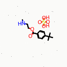 CNCCOC(=O)c1ccc(C(C)(C)C)cc1.O=S(=O)(O)O